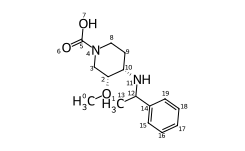 CO[C@@H]1CN(C(=O)O)CC[C@@H]1NC(C)c1ccccc1